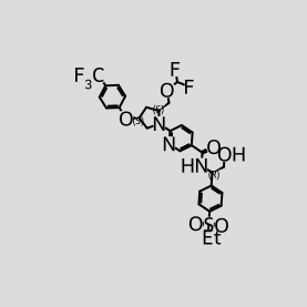 CCS(=O)(=O)c1ccc([C@H](CO)NC(=O)c2ccc(N3C[C@@H](Oc4ccc(C(F)(F)F)cc4)C[C@H]3COC(F)F)nc2)cc1